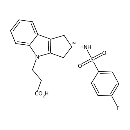 O=C(O)CCn1c2c(c3ccccc31)C[C@H](NS(=O)(=O)c1ccc(F)cc1)C2